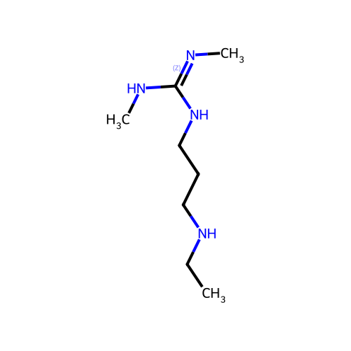 CCNCCCN/C(=N\C)NC